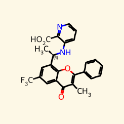 Cc1c(-c2ccccc2)oc2c([C@@H](C)Nc3cccnc3C(=O)O)cc(C(F)(F)F)cc2c1=O